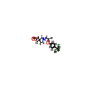 C[C@H](CN1CCC2(C1)C[S+]([O-])C2)Oc1ccc(C(F)(F)F)cc1